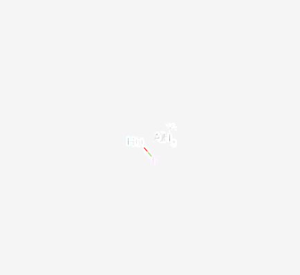 OF.[AlH3].[Y]